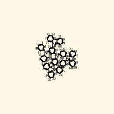 c1ccc(N2c3ccccc3B3c4cc([Si](c5ccccc5)(c5ccccc5)c5ccccc5)ccc4N(c4cccc([Si](c5ccccc5)(c5ccccc5)c5ccccc5)c4)c4cc(-n5c6ccccc6c6ccccc65)cc2c43)cc1